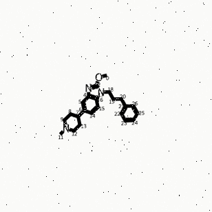 COc1nc2cc(C3CCN(C)CC3)ccc2n1CCCc1ccccc1